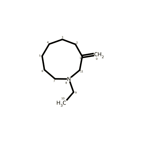 C=C1CCCCCCN(CC)C1